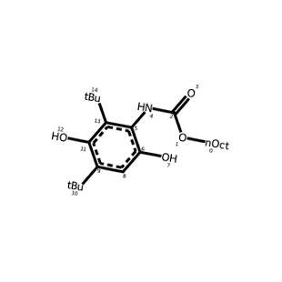 CCCCCCCCOC(=O)Nc1c(O)cc(C(C)(C)C)c(O)c1C(C)(C)C